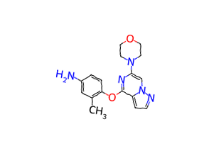 Cc1cc(N)ccc1Oc1nc(N2CCOCC2)cn2nccc12